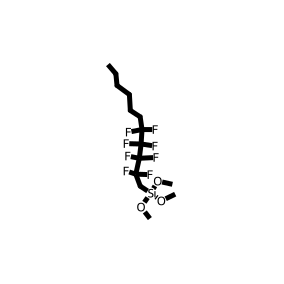 CCCCCCC(F)(F)C(F)(F)C(F)(F)C(F)(F)C[Si](OC)(OC)OC